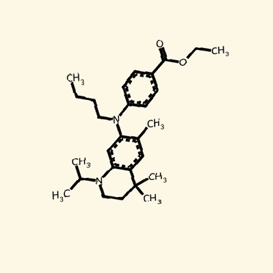 CCCCN(c1ccc(C(=O)OCC)cc1)c1cc2c(cc1C)C(C)(C)CCN2C(C)C